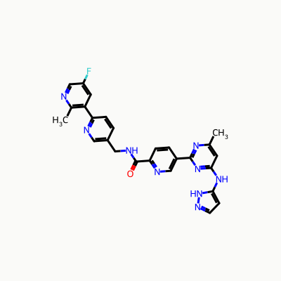 Cc1cc(Nc2ccn[nH]2)nc(-c2ccc(C(=O)NCc3ccc(-c4cc(F)cnc4C)nc3)nc2)n1